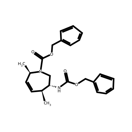 C[C@@H]1C=C[C@H](C)[C@@H](NC(=O)OCc2ccccc2)CN1C(=O)OCc1ccccc1